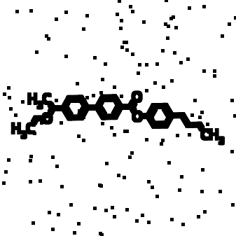 CCCCc1ccc(OC(=O)c2ccc(-c3ccc(C(C)OCC)cc3)cc2)cc1